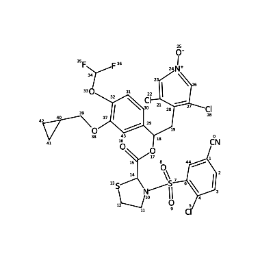 N#Cc1ccc(Cl)c(S(=O)(=O)N2CCSC2C(=O)OC(Cc2c(Cl)c[n+]([O-])cc2Cl)c2ccc(OC(F)F)c(OCC3CC3)c2)c1